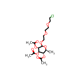 CC(=O)OC1[C@@H](OC(C)=O)C(OCCOCCOCCCl)O[C@@H](C)[C@@H]1OC(C)=O